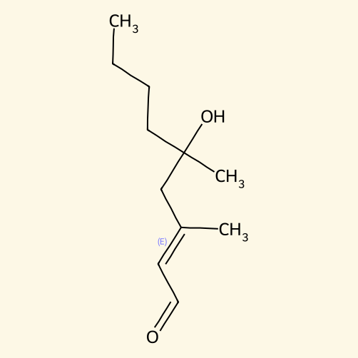 CCCCC(C)(O)C/C(C)=C/C=O